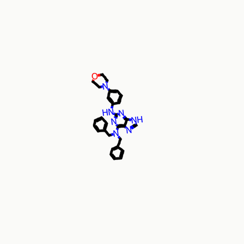 c1ccc(CN(Cc2ccccc2)c2nc(Nc3cccc(N4CCOCC4)c3)nc3[nH]cnc23)cc1